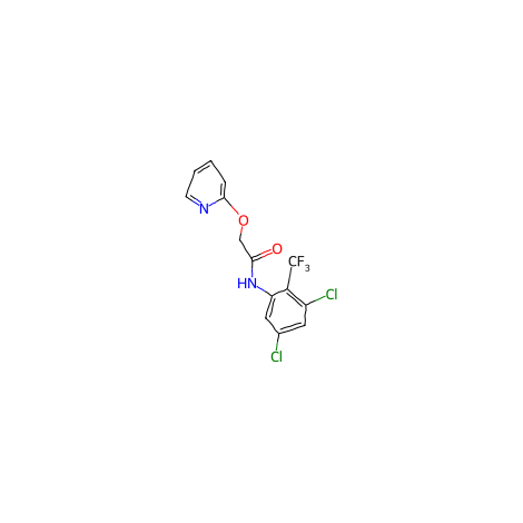 O=C(COc1ccccn1)Nc1cc(Cl)cc(Cl)c1C(F)(F)F